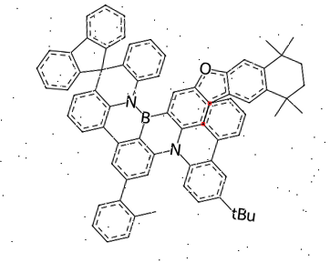 Cc1ccccc1-c1cc2c3c(c1)N(c1ccc(C(C)(C)C)cc1-c1ccccc1)c1cc4c(cc1B3N1c3ccccc3C3(c5ccccc5-c5ccccc53)c3cccc-2c31)oc1cc2c(cc14)C(C)(C)CCC2(C)C